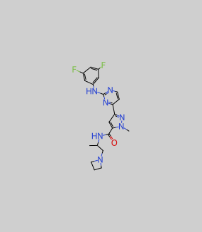 CC(CN1CCC1)NC(=O)c1cc(-c2ccnc(Nc3cc(F)cc(F)c3)n2)nn1C